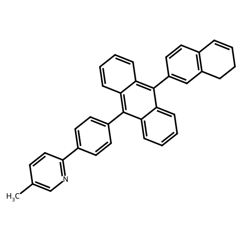 Cc1ccc(-c2ccc(-c3c4ccccc4c(-c4ccc5c(c4)CCC=C5)c4ccccc34)cc2)nc1